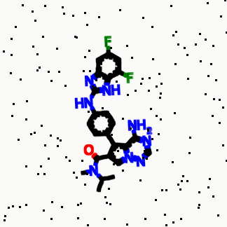 CC(C)N(C)C(=O)c1cn2ncnc(N)c2c1-c1ccc(Nc2nc3cc(F)cc(F)c3[nH]2)cc1